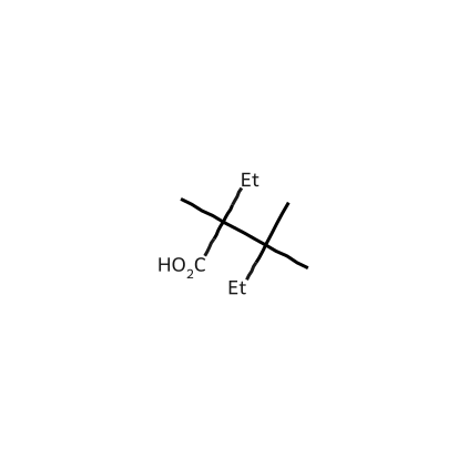 CCC(C)(C)C(C)(CC)C(=O)O